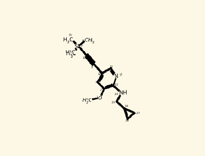 COc1cc(C#C[Si](C)(C)C)cnc1NCC1CC1